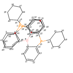 CP(c1ccccc1B(c1ccccc1P(C1CCCCC1)C1CCCCC1)c1ccccc1P(C1CCCCC1)C1CCCCC1)C1CCCCC1